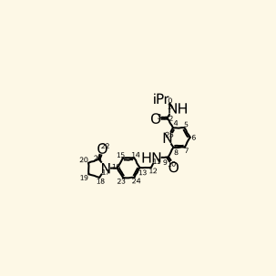 CC(C)NC(=O)c1cccc(C(=O)NCc2ccc(N3CCCC3=O)cc2)n1